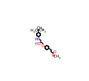 COC(=O)C=Cc1ccc(OCC(O)CNc2ccc(C(C)(C)C)cc2)cc1